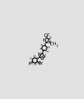 Cn1cc(C(F)(F)F)nc1-c1ccc(-c2noc(-c3ccc(F)cc3Br)n2)cc1